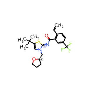 C=Cc1ccc(C(F)(F)F)cc1C(=O)/N=c1\sc(C(C)(C)C)cn1C[C@H]1CCCO1